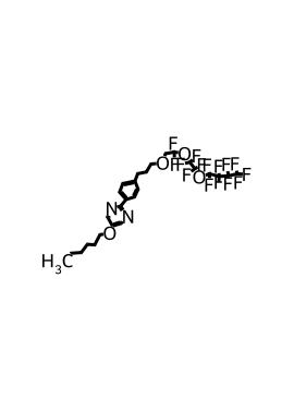 CCCCCCOc1cnc(-c2ccc(CCCOCC(F)(F)OC(F)(F)C(F)(F)OC(F)(F)C(F)(F)C(F)(F)C(F)(F)F)cc2)nc1